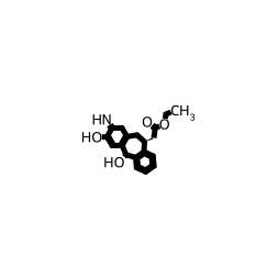 CCOC(=O)C[C@H]1CC2=C(C=C(O)C(=N)C2)C(O)c2ccccc21